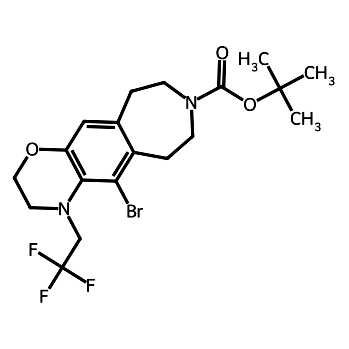 CC(C)(C)OC(=O)N1CCc2cc3c(c(Br)c2CC1)N(CC(F)(F)F)CCO3